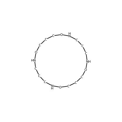 C1CNOCCCONCCCNOCCCONC1